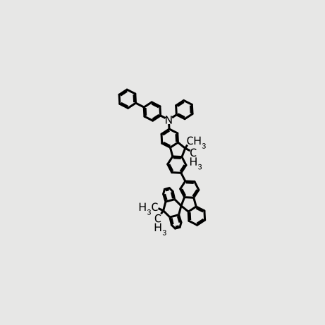 CC1(C)c2cc(-c3ccc4c(c3)C3(c5ccccc5-4)c4ccccc4C(C)(C)c4ccccc43)ccc2-c2ccc(N(c3ccccc3)c3ccc(-c4ccccc4)cc3)cc21